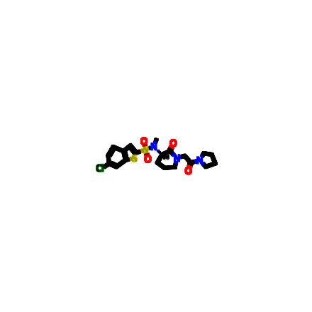 CN([C@H]1CCCN(CC(=O)N2CCCC2)C1=O)S(=O)(=O)c1cc2ccc(Cl)cc2s1